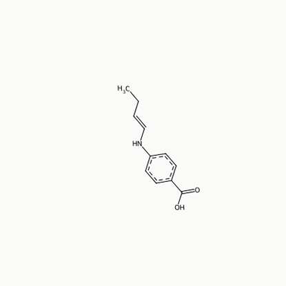 CCC=CNc1ccc(C(=O)O)cc1